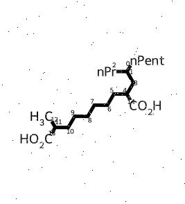 CCCCCC(CCC)CC(CCCCCCC(C)C(=O)O)C(=O)O